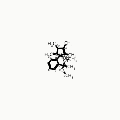 COC(C)(OC)c1ccccc1C1(O)C(C)=C(C)C(C)C1C